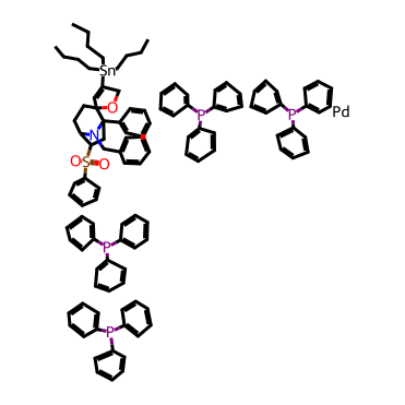 CCC[CH2][Sn]([CH2]CCC)([CH2]CCC)[C]1=CC2(CCC3C(S(=O)(=O)c4ccccc4)CC2(c2ccccc2)N3Cc2ccccc2)OC1.[Pd].c1ccc(P(c2ccccc2)c2ccccc2)cc1.c1ccc(P(c2ccccc2)c2ccccc2)cc1.c1ccc(P(c2ccccc2)c2ccccc2)cc1.c1ccc(P(c2ccccc2)c2ccccc2)cc1